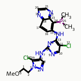 COCCn1ncc(Nc2ncc(Cl)c(Nc3ccc4nccnc4c3P(C)C)n2)c1Cl